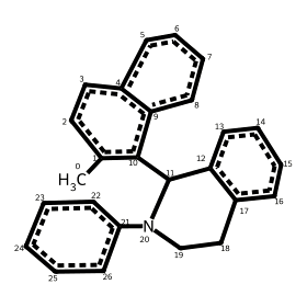 Cc1ccc2ccccc2c1C1c2ccccc2CCN1c1ccccc1